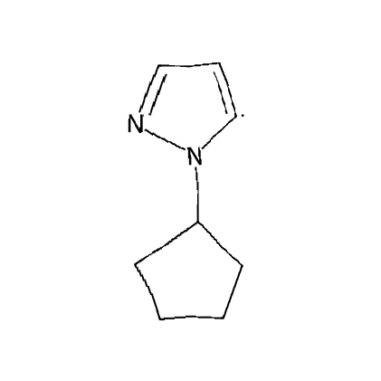 [c]1ccnn1C1CCCC1